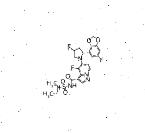 CCN(C)S(=O)(=O)NC(=O)c1cnn2ccc(N3C[C@@H](F)C[C@@H]3c3cc(F)cc4c3OCO4)c(F)c12